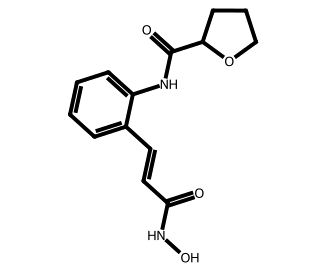 O=C(C=Cc1ccccc1NC(=O)C1CCCO1)NO